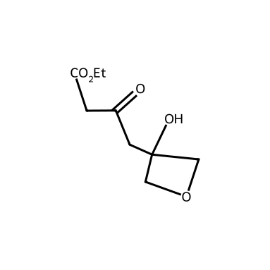 CCOC(=O)CC(=O)CC1(O)COC1